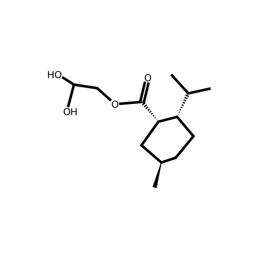 CC(C)[C@@H]1CC[C@@H](C)C[C@@H]1C(=O)OCC(O)O